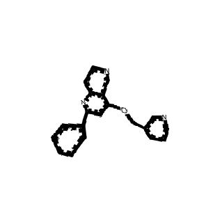 c1ccc(-c2cc(OCc3cccnc3)c3cnccc3n2)cc1